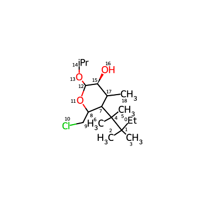 CCC(C)(C)C(C)(C)C1C(CCl)OC(OC(C)C)[C@@H](O)C1C